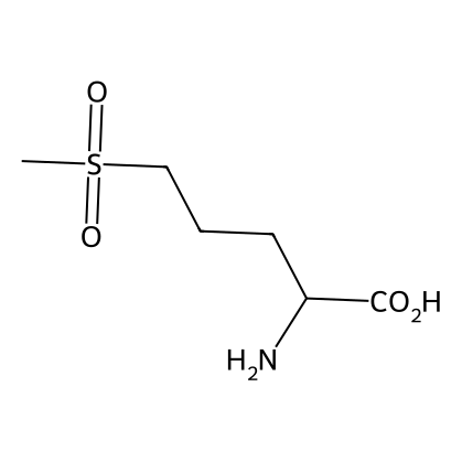 CS(=O)(=O)CCCC(N)C(=O)O